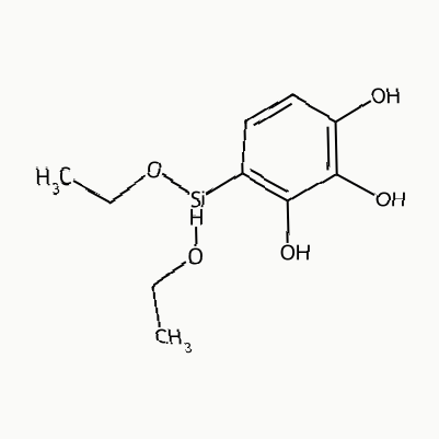 CCO[SiH](OCC)c1ccc(O)c(O)c1O